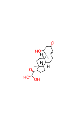 C[C@]12CC[C@H]3[C@@H](CCC4=CC(=O)CC(O)[C@@]43C)[C@@H]1CC[C@@H]2C(=O)C(O)O